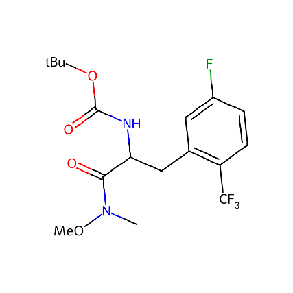 CON(C)C(=O)C(Cc1cc(F)ccc1C(F)(F)F)NC(=O)OC(C)(C)C